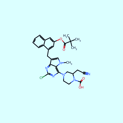 Cn1cc(Cc2cc(OC(=O)C(C)(C)C)cc3ccccc23)c2nc(Cl)nc(N3CCN(C(=O)O)C(CC#N)C3)c21